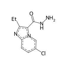 CCc1nc2ccc(Cl)cn2c1C(=O)NN